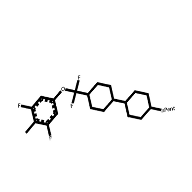 CCCCCC1CCC(C2CCC(C(F)(F)Oc3cc(F)c(C)c(F)c3)CC2)CC1